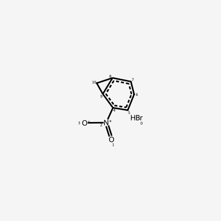 Br.O=[N+]([O-])c1cccc2c1C2